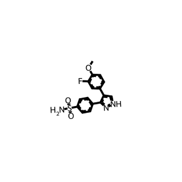 COc1ccc(-c2c[nH]nc2-c2ccc(S(N)(=O)=O)cc2)cc1F